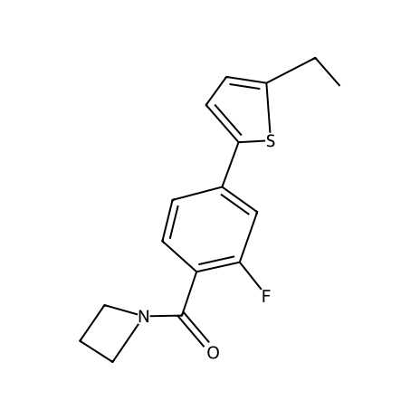 CCc1ccc(-c2ccc(C(=O)N3CCC3)c(F)c2)s1